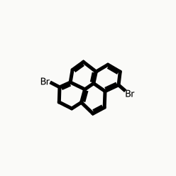 BrC1=c2ccc3ccc(Br)c4ccc(c2c34)CC1